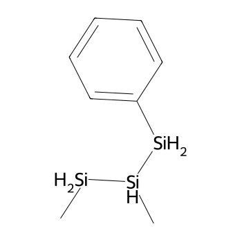 C[SiH2][SiH](C)[SiH2]c1ccccc1